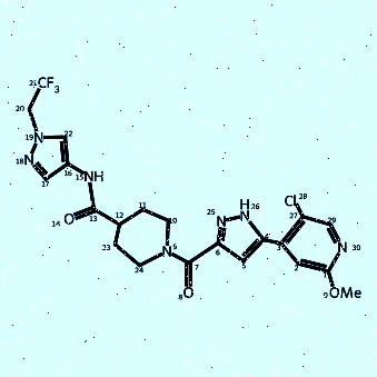 COc1cc(-c2cc(C(=O)N3CCC(C(=O)Nc4cnn(CC(F)(F)F)c4)CC3)n[nH]2)c(Cl)cn1